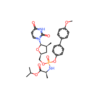 COc1ccc(-c2ccc(OP(=O)(N[C@@H](C)C(=O)OC(C)C)OC[C@@H]3C[C@H](C)[C@H](n4ccc(=O)[nH]c4=O)O3)cc2)cc1